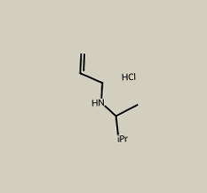 C=CCNC(C)C(C)C.Cl